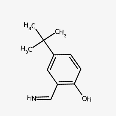 CC(C)(C)c1ccc(O)c(C=N)c1